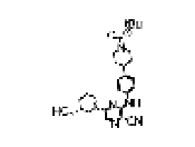 CC(C)(C)OC(=O)N1CCC(c2ccc(Nc3nc(N4CCC[C@@H](CO)C4)cnc3C#N)cc2)CC1